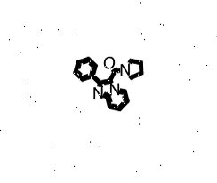 O=C(c1c(-c2ccccc2)nc2ccccn12)N1CCCC1